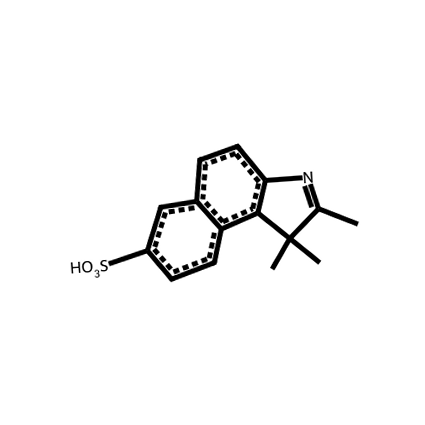 CC1=Nc2ccc3cc(S(=O)(=O)O)ccc3c2C1(C)C